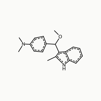 COC(c1ccc(N(C)C)cc1)c1c(C)[nH]c2ccccc12